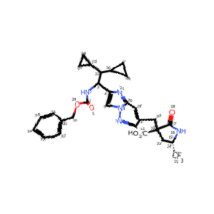 O=C(NC(c1cn2ncc(CC3(C(=O)O)C[C@@H](C(F)(F)F)NC3=O)cc2n1)C(C1CC1)C1CC1)OCc1ccccc1